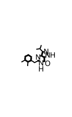 Cc1cccc(Cc2nc3c(C(C)C)n[nH]c3c(=O)[nH]2)c1C